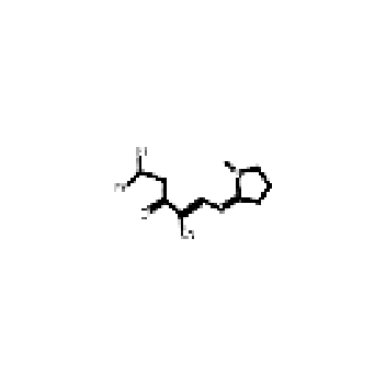 CCC(CC)CC(=O)/C(C#N)=C/C=C1/CCCN1C